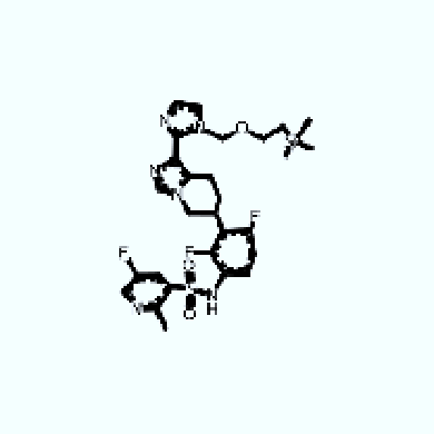 Cc1ncc(F)cc1S(=O)(=O)Nc1ccc(F)c(C2CCc3c(-c4nccn4COCC[Si](C)(C)C)ncn3C2)c1F